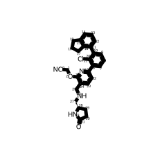 N#CCOc1nc(-c2cccc(-c3cccc4c3CCC4)c2Cl)ccc1CNC[C@@H]1CCC(=O)N1